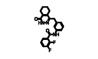 O=C(Nc1cccc(Cc2n[nH]c(=O)c3c2CCCC3)c1)c1cccc(F)c1F